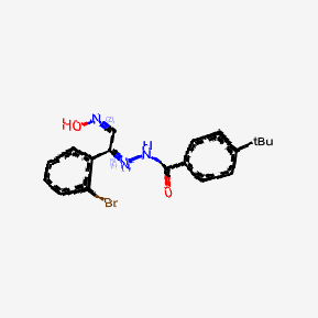 CC(C)(C)c1ccc(C(=O)N/N=C(\C=N/O)c2ccccc2Br)cc1